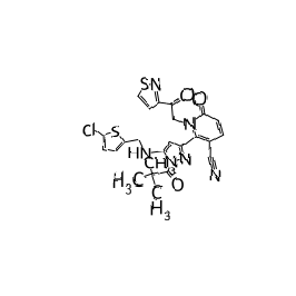 CC(C)(C)C(=O)n1nc(-c2c(C#N)ccc(=O)n2CC(=O)c2ccsn2)cc1NCc1ccc(Cl)s1